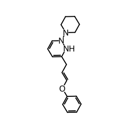 C1=CN(N2CCCCC2)NC(CC=COc2ccccc2)=C1